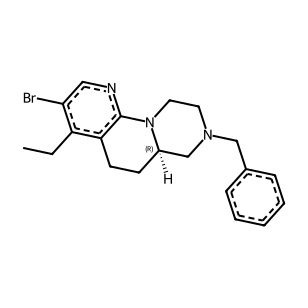 CCc1c(Br)cnc2c1CC[C@@H]1CN(Cc3ccccc3)CCN21